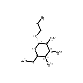 CC(=O)OCC1O[C@H](OCCBr)C(OC(C)=O)[C@@H](OC(C)=O)[C@H]1OC(C)=O